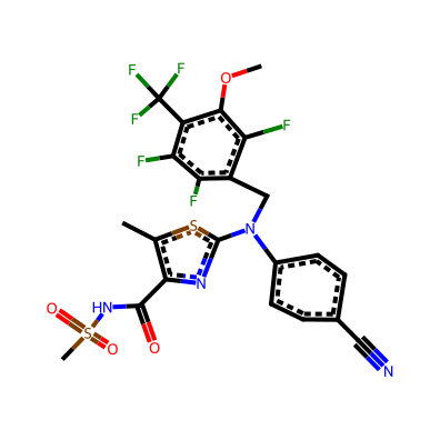 COc1c(F)c(CN(c2ccc(C#N)cc2)c2nc(C(=O)NS(C)(=O)=O)c(C)s2)c(F)c(F)c1C(F)(F)F